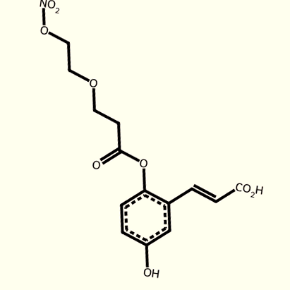 O=C(O)C=Cc1cc(O)ccc1OC(=O)CCOCCO[N+](=O)[O-]